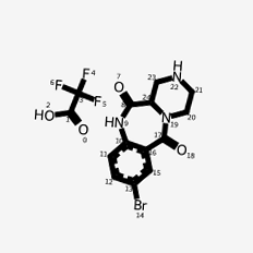 O=C(O)C(F)(F)F.O=C1Nc2ccc(Br)cc2C(=O)N2CCNCC12